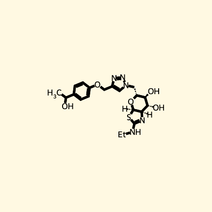 CCNC1=N[C@@H]2[C@@H](O)[C@H](O)[C@@H](Cn3cc(COc4ccc(C(C)O)cc4)nn3)O[C@@H]2S1